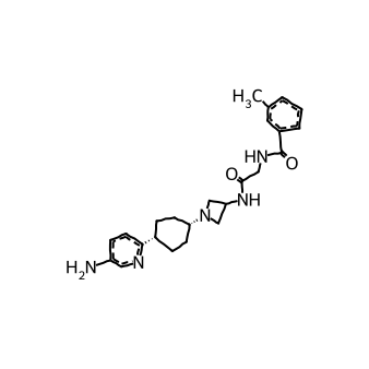 Cc1cccc(C(=O)NCC(=O)NC2CN([C@H]3CC[C@@H](c4ccc(N)cn4)CC3)C2)c1